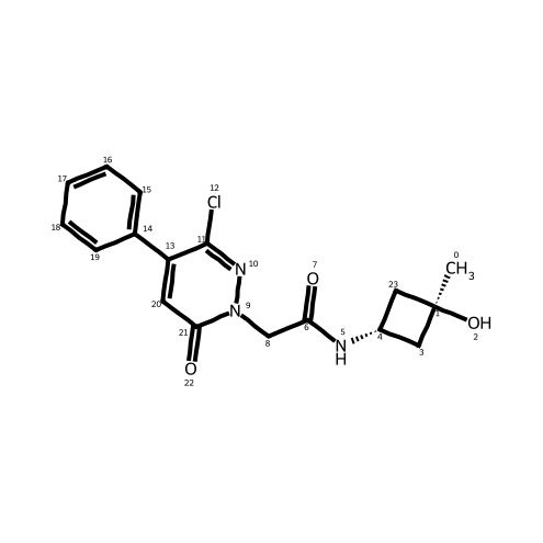 C[C@]1(O)C[C@H](NC(=O)Cn2nc(Cl)c(-c3ccccc3)cc2=O)C1